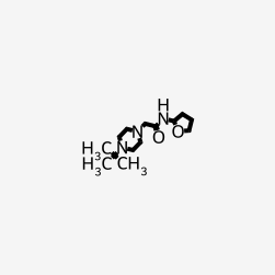 CC(C)(C)N1CCN(CC(=O)NC2CCCO2)CC1